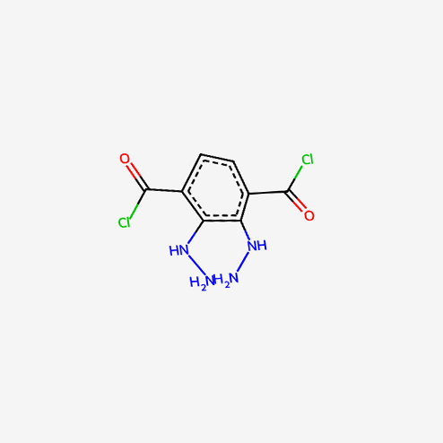 NNc1c(C(=O)Cl)ccc(C(=O)Cl)c1NN